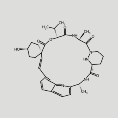 CC(C)[C@H]1OC(=O)[C@]2(/C=C/c3ccc4ccc(nc4c3)[C@@H](C)NC(=O)[C@@H]3CCCN(N3)C(=O)[C@H](C)NC1=O)CC[C@H](O)CC2